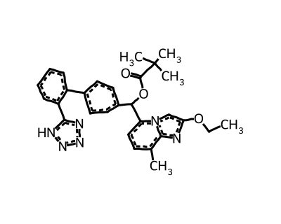 CCOc1cn2c(C(OC(=O)C(C)(C)C)c3ccc(-c4ccccc4-c4nnn[nH]4)cc3)ccc(C)c2n1